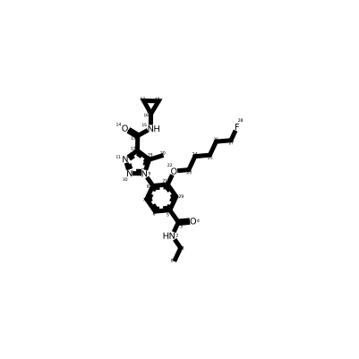 CCNC(=O)c1ccc(-n2nnc(C(=O)NC3CC3)c2C)c(OCCCCCF)c1